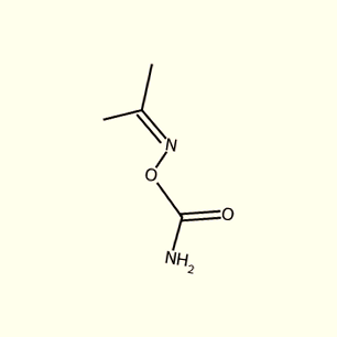 CC(C)=NOC(N)=O